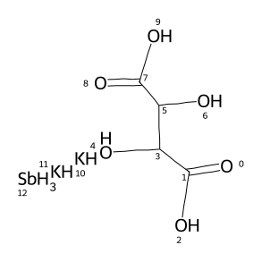 O=C(O)C(O)C(O)C(=O)O.[KH].[KH].[SbH3]